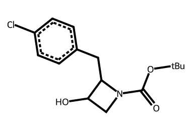 CC(C)(C)OC(=O)N1CC(O)C1Cc1ccc(Cl)cc1